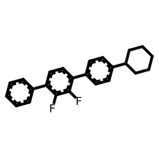 Fc1c(-c2ccccc2)ccc(-c2ccc(C3CCCCC3)cc2)c1F